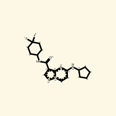 O=C(NC1CCC(F)(F)CC1)c1cnn2ccc(NC3CCCC3)nc12